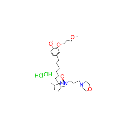 COCCCOc1cc(CCCCCCC(C(=O)NCCCN2CCOCC2)(C(C)C)C(C)C)ccc1OC.Cl.Cl